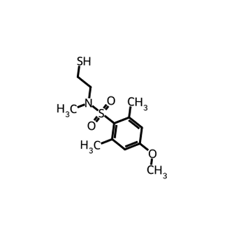 COc1cc(C)c(S(=O)(=O)N(C)CCS)c(C)c1